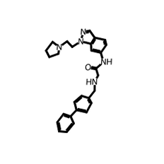 O=C(CNCc1ccc(-c2ccccc2)cc1)Nc1ccc2cnn(CCN3CCCC3)c2c1